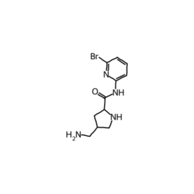 NCC1CNC(C(=O)Nc2cccc(Br)n2)C1